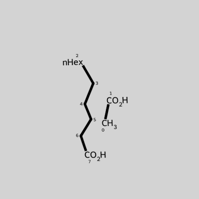 CC(=O)O.CCCCCCCCCCC(=O)O